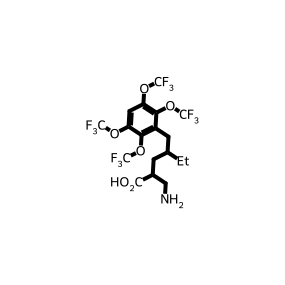 CCC(Cc1c(OC(F)(F)F)c(OC(F)(F)F)cc(OC(F)(F)F)c1OC(F)(F)F)CC(CN)C(=O)O